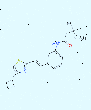 CCC(C)(CC(=O)Nc1cccc(/C=C/c2nc(C3CCC3)cs2)c1)C(=O)O